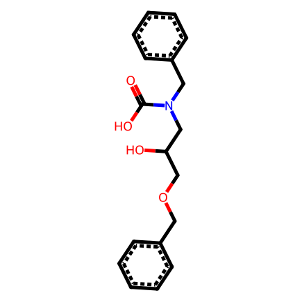 O=C(O)N(Cc1ccccc1)CC(O)COCc1ccccc1